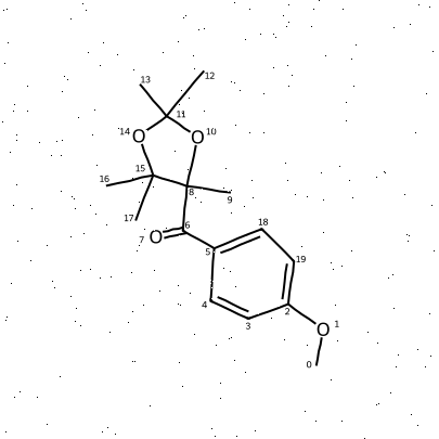 COc1ccc(C(=O)C2(C)OC(C)(C)OC2(C)C)cc1